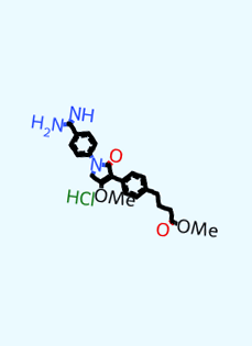 COC(=O)CCCc1ccc(C2=C(OC)CN(c3ccc(C(=N)N)cc3)C2=O)cc1.Cl